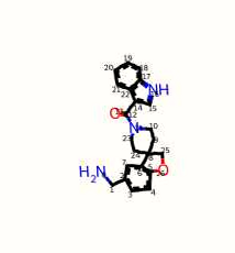 NCc1ccc2c(c1)C1(CCN(C(=O)c3c[nH]c4ccccc34)CC1)CO2